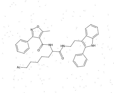 CC(=O)CCCCCC(NC(=O)c1c(-c2ccccc2)noc1C)C(=O)NCCc1c(-c2ccccc2)[nH]c2ccccc12